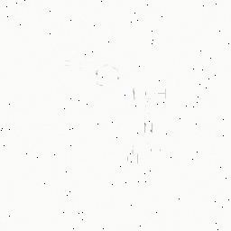 C=CC(=O)N1CC[C@@](O)(/C=C/c2ccc(C(F)(F)F)cc2)C1